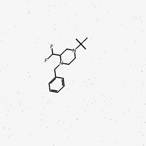 CC(C)(C)N1CCN(Cc2ccccc2)C(C(F)F)C1